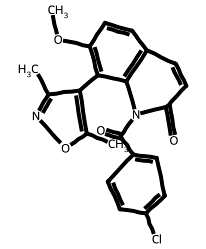 COc1ccc2ccc(=O)n(C(=O)c3ccc(Cl)cc3)c2c1-c1c(C)noc1C